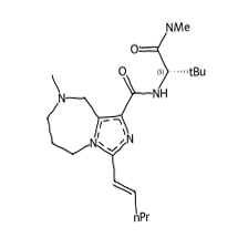 CCCC=Cc1nc(C(=O)N[C@H](C(=O)NC)C(C)(C)C)c2n1CCCN(C)C2